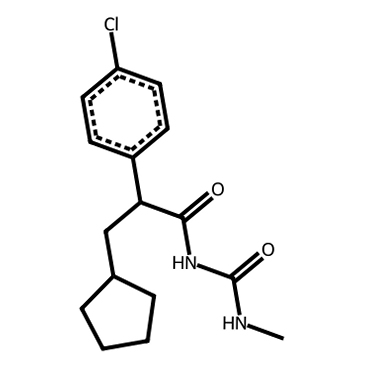 CNC(=O)NC(=O)C(CC1CCCC1)c1ccc(Cl)cc1